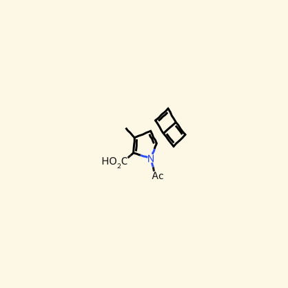 CC(=O)n1ccc(C)c1C(=O)O.c1cc2ccc1-2